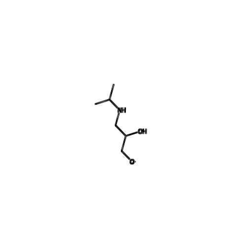 CC(C)NCC(O)C[O]